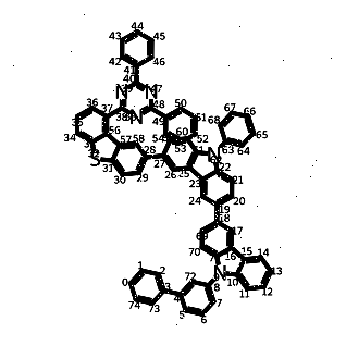 c1ccc(-c2cccc(-n3c4ccccc4c4cc(-c5ccc6c(c5)c5cc(-c7ccc8sc9cccc(-c%10nc(-c%11ccccc%11)nc(-c%11ccccc%11)n%10)c9c8c7)ccc5n6-c5ccccc5)ccc43)c2)cc1